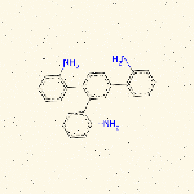 Nc1ccccc1-c1ccc(-c2ccccc2N)c(-c2ccccc2N)c1